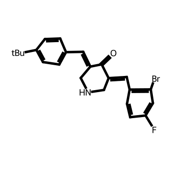 CC(C)(C)c1ccc(C=C2CNCC(=Cc3ccc(F)cc3Br)C2=O)cc1